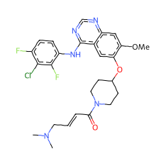 COc1cc2ncnc(Nc3ccc(F)c(Cl)c3F)c2cc1OC1CCN(C(=O)C=CCN(C)C)CC1